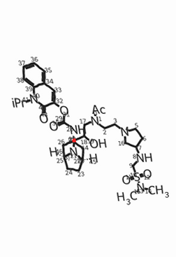 CC(=O)N(CCN1CCC(NCS(=O)(=O)N(C)C)C1)CC(O)CN1[C@@H]2CC[C@H]1C[C@H](NC(=O)Oc1cc3ccccc3n(C(C)C)c1=O)C2